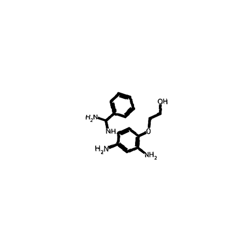 NC(N)c1ccccc1.Nc1ccc(OCCO)c(N)c1